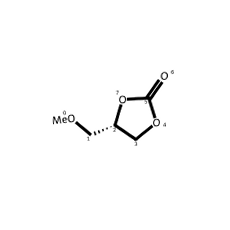 COC[C@H]1COC(=O)O1